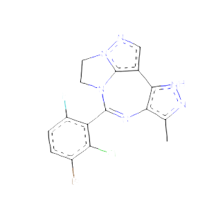 Cc1n[nH]c2c1N=C(c1c(F)ccc(Br)c1Cl)N1CCn3ncc-2c31